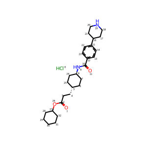 Cl.O=C(CC[C@H]1CC[C@H](NC(=O)c2ccc(C3CCNCC3)cc2)CC1)OC1CCCCC1